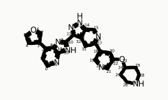 c1cc(-c2ccoc2)c2nc(-c3n[nH]c4cnc(-c5cncc(OC6CCNCC6)c5)cc34)[nH]c2n1